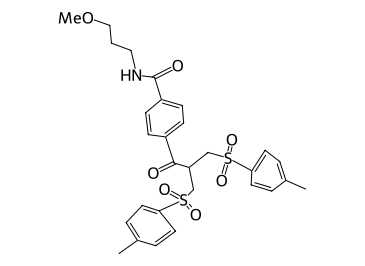 COCCCNC(=O)c1ccc(C(=O)C(CS(=O)(=O)c2ccc(C)cc2)CS(=O)(=O)c2ccc(C)cc2)cc1